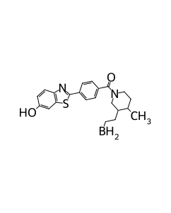 BCCC1CN(C(=O)c2ccc(-c3nc4ccc(O)cc4s3)cc2)CCC1C